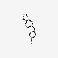 COc1ccc(Cc2ccc(Cl)cc2)cc1